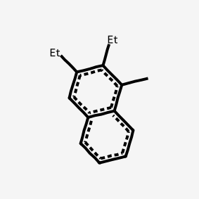 CCc1cc2ccccc2c(C)c1CC